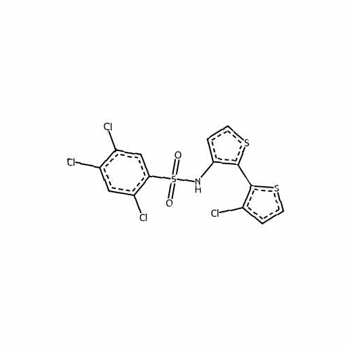 O=S(=O)(Nc1ccsc1-c1sccc1Cl)c1cc(Cl)c(Cl)cc1Cl